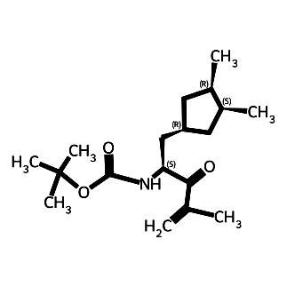 C=C(C)C(=O)[C@H](C[C@H]1C[C@@H](C)[C@@H](C)C1)NC(=O)OC(C)(C)C